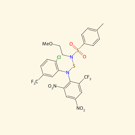 COCCN(SN(c1cc(C(F)(F)F)ccc1Cl)c1c([N+](=O)[O-])cc([N+](=O)[O-])cc1C(F)(F)F)S(=O)(=O)c1ccc(C)cc1